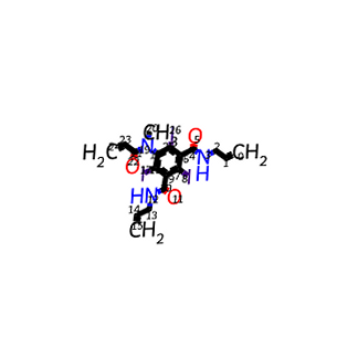 C=CCNC(=O)c1c(I)c(C(=O)NCC=C)c(I)c(N(C)C(=O)C=C)c1I